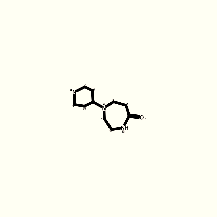 O=C1CCN(C2CC[N]CC2)CCN1